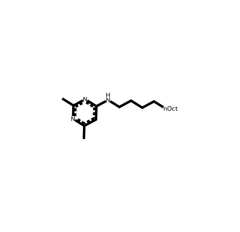 CCCCCCCCCCCCNc1cc(C)nc(C)n1